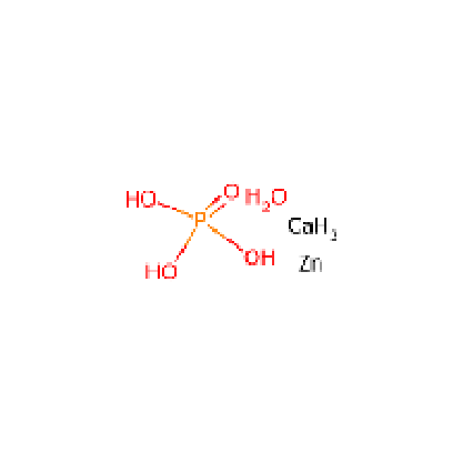 O.O=P(O)(O)O.[CaH2].[Zn]